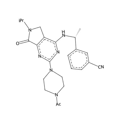 CC(=O)N1CCN(c2nc(N[C@H](C)c3cccc(C#N)c3)c3c(n2)C(=O)N(C(C)C)C3)CC1